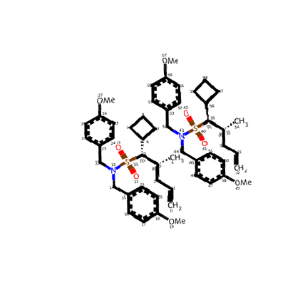 C=CC[C@@H](C)[C@@H](C1CCC1)S(=O)(=O)N(Cc1ccc(OC)cc1)Cc1ccc(OC)cc1.C=CC[C@@H](C)[C@H](C1CCC1)S(=O)(=O)N(Cc1ccc(OC)cc1)Cc1ccc(OC)cc1